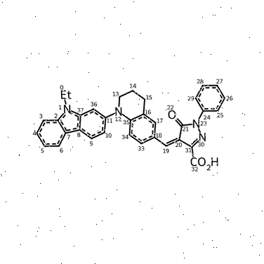 CCn1c2ccccc2c2ccc(N3CCCc4cc(/C=C5\C(=O)N(c6ccccc6)N=C5C(=O)O)ccc43)cc21